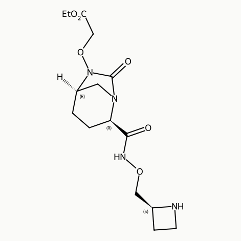 CCOC(=O)CON1C(=O)N2C[C@H]1CC[C@@H]2C(=O)NOC[C@@H]1CCN1